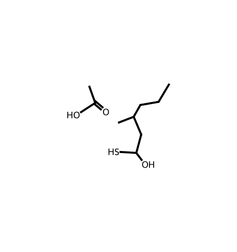 CC(=O)O.CCCC(C)CC(O)S